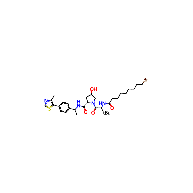 Cc1ncsc1-c1ccc(C(C)NC(=O)[C@@H]2C[C@@H](O)CN2C(=O)C(NC(=O)CCCCCCCCBr)C(C)(C)C)cc1